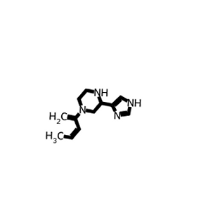 C=C(/C=C\C)N1CCNC(c2c[nH]cn2)C1